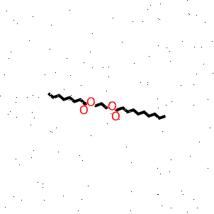 CCCCCCCCCC(=O)OCCCOC(=O)CCCCCCC